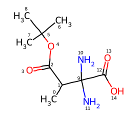 CC(C(=O)OC(C)(C)C)C(N)(N)C(=O)O